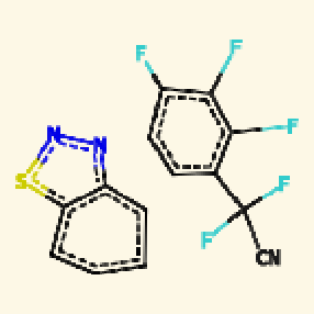 N#CC(F)(F)c1ccc(F)c(F)c1F.c1ccc2snnc2c1